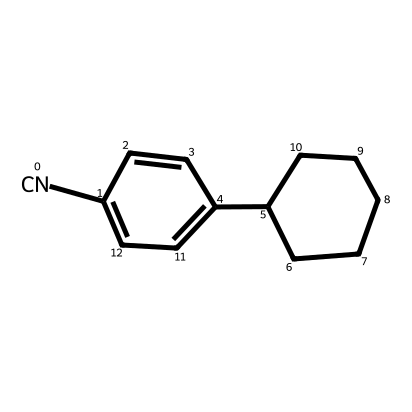 [C-]#[N+]c1ccc(C2CCCCC2)cc1